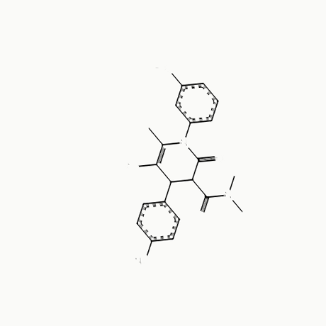 CC(=O)C1=C(C)N(c2cccc(C(F)(F)F)c2)C(=O)C(C(=O)N(C)C)C1c1ccc(C#N)cc1